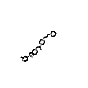 Cc1cc(-n2cc3c(n2)CCN(CC(=O)N2CCN(CCCN4CCCCC4)CC2)C3)ccn1